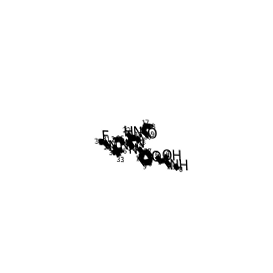 CNCC(O)COc1cccc(-c2nc(NC3CCOC3)c(C)c(N3CCN(CC(C)F)C(C)(C)C3)n2)c1